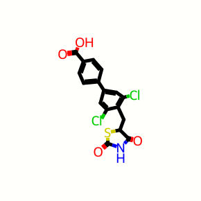 O=C1NC(=O)C(Cc2c(Cl)cc(-c3ccc(C(=O)O)cc3)cc2Cl)S1